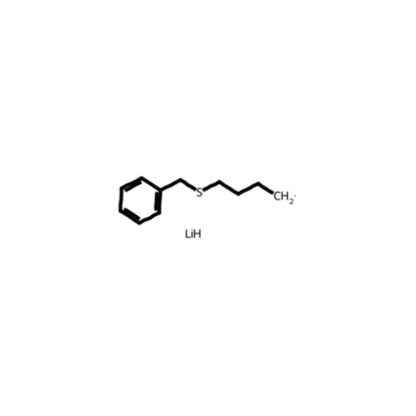 [CH2]CCCSCc1ccccc1.[LiH]